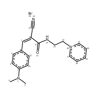 CN(C)c1ccc(C=C(C#N)C(=O)NCC[n+]2ccccc2)cc1.[Br-]